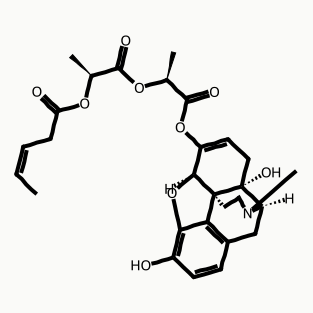 C/C=C\CC(=O)O[C@@H](C)C(=O)O[C@@H](C)C(=O)OC1=CC[C@@]2(O)[C@H]3Cc4ccc(O)c5c4[C@@]2(CCN3C)[C@H]1O5